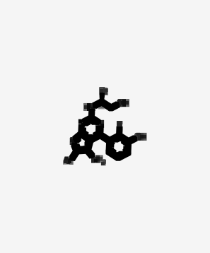 CC[C@@H](CO)Nc1nc(-c2cccc(O)c2F)c2c(N)c(C(C)=O)sc2n1